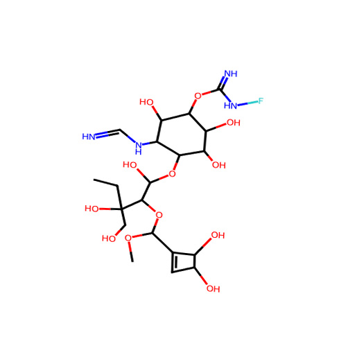 CCC(O)(CO)C(OC(OC)C1=CC(O)C1O)C(O)OC1C(O)C(O)C(OC(=N)NF)C(O)C1NC=N